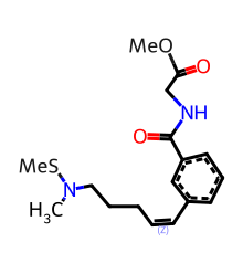 COC(=O)CNC(=O)c1cccc(/C=C\CCCN(C)SC)c1